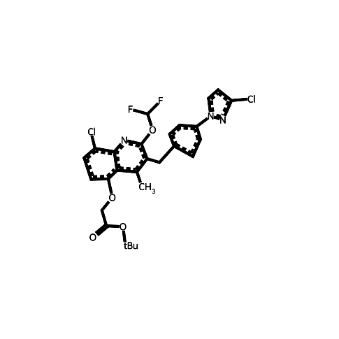 Cc1c(Cc2ccc(-n3ccc(Cl)n3)cc2)c(OC(F)F)nc2c(Cl)ccc(OCC(=O)OC(C)(C)C)c12